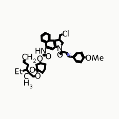 C=CCC(CC)C1(C)COC2(CCCC(OC(=O)Nc3cc4c(c5ccccc35)C(CCl)CN4C(=O)/C=C/c3ccc(OC)cc3)C2)O1